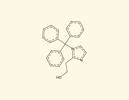 OCCc1nccn1C(c1ccccc1)(c1ccccc1)c1ccccc1